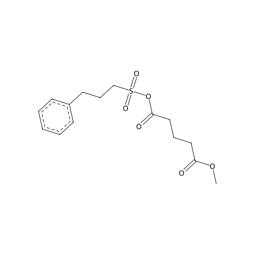 COC(=O)CCCC(=O)OS(=O)(=O)CCCc1ccccc1